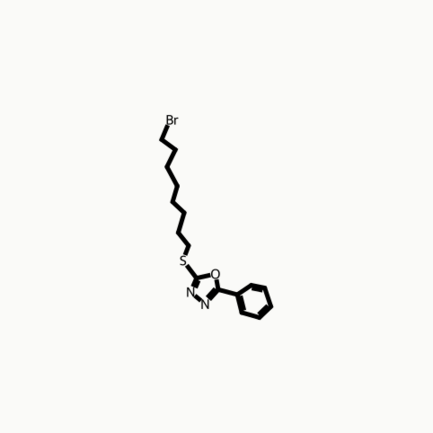 BrCCCCCCCCSc1nnc(-c2ccccc2)o1